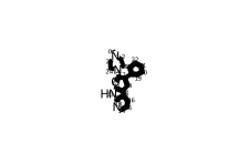 CN1CCN(C(=O)C(=Cc2c[nH]c3ncccc23)c2ccccc2)CC1